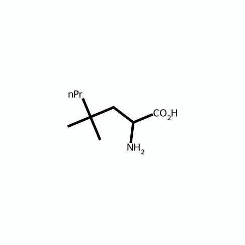 CCCC(C)(C)CC(N)C(=O)O